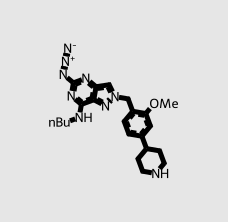 CCCCNc1nc(N=[N+]=[N-])nc2cn(Cc3ccc(C4CCNCC4)cc3OC)nc12